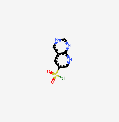 O=S(=O)(Cl)c1cnc2ncncc2c1